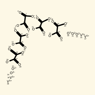 O=C([O-])C(=O)[O-].O=C([O-])C(=O)[O-].O=C([O-])C(=O)[O-].O=C([O-])C(=O)[O-].O=C([O-])C(=O)[O-].[O-2].[O-2].[O-2].[O-2].[O-2].[V+5].[V+5].[V+5].[V+5]